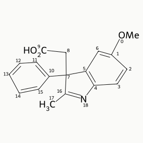 COc1ccc2c(c1)C(CC(=O)O)(c1ccccc1)C(C)=N2